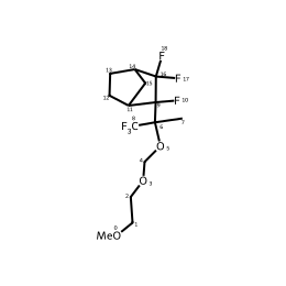 COCCOCOC(C)(C(F)(F)F)C1(F)C2CCC(C2)C1(F)F